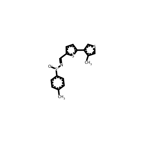 Cc1ccc([S+]([O-])/N=C/c2ccc(-c3cscc3C)s2)cc1